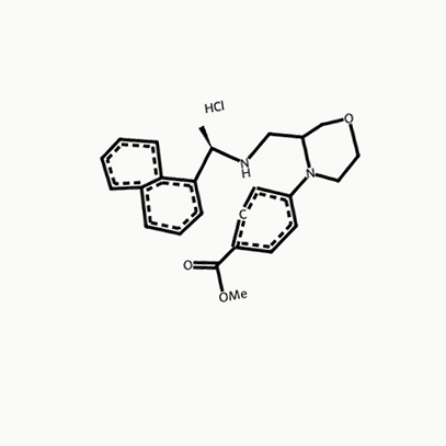 COC(=O)c1ccc(N2CCOCC2CN[C@H](C)c2cccc3ccccc23)cc1.Cl